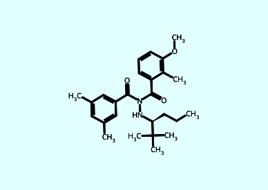 CCC[C@H](NN(C(=O)c1cc(C)cc(C)c1)C(=O)c1cccc(OC)c1C)C(C)(C)C